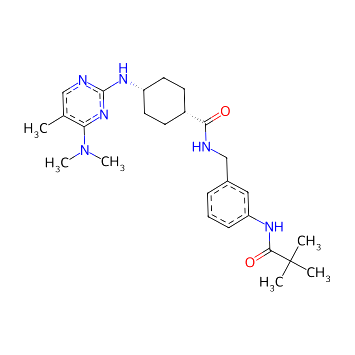 Cc1cnc(N[C@H]2CC[C@@H](C(=O)NCc3cccc(NC(=O)C(C)(C)C)c3)CC2)nc1N(C)C